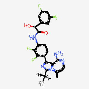 [2H]C([2H])([2H])c1nc(-c2ccc(NC(=O)C(O)c3cc(F)cc(F)c3)c(F)c2F)c2c(N)ncc(C)n12